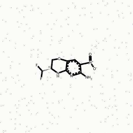 Nc1nc2c(cc1[N+](=O)[O-])OC[C@@H](C(F)F)N2